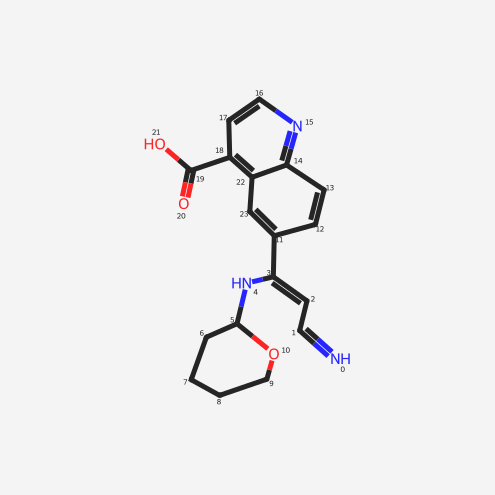 N=C/C=C(\NC1CCCCO1)c1ccc2nccc(C(=O)O)c2c1